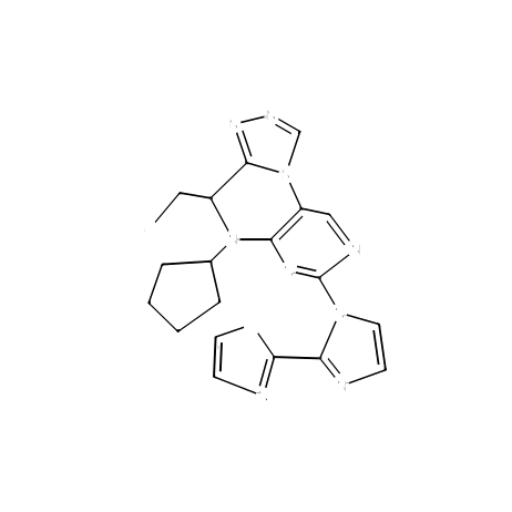 CCC1c2nncn2-c2cnc(-n3ccnc3-c3ncco3)nc2N1C1CCCC1